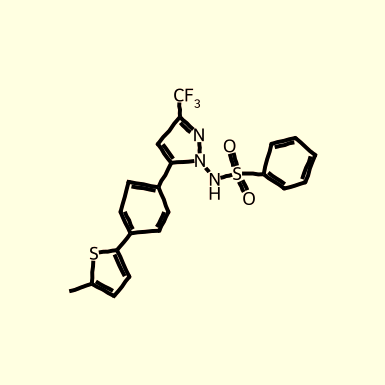 Cc1ccc(-c2ccc(-c3cc(C(F)(F)F)nn3NS(=O)(=O)c3ccccc3)cc2)s1